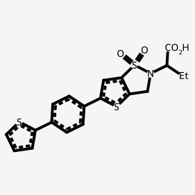 CCC(C(=O)O)N1Cc2sc(-c3ccc(-c4cccs4)cc3)cc2S1(=O)=O